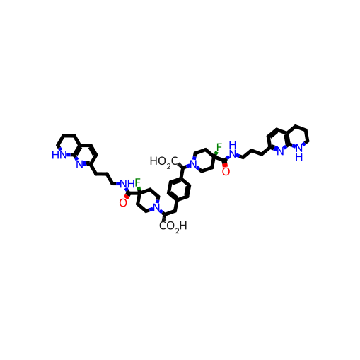 O=C(O)C(Cc1ccc(C(C(=O)O)N2CCC(F)(C(=O)NCCCc3ccc4c(n3)NCCC4)CC2)cc1)N1CCC(F)(C(=O)NCCCc2ccc3c(n2)NCCC3)CC1